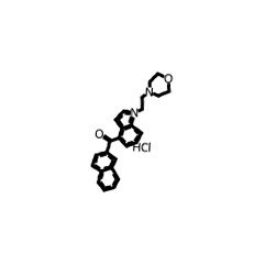 Cl.O=C(c1ccc2ccccc2c1)c1cccc2c1ccn2CCN1CCOCC1